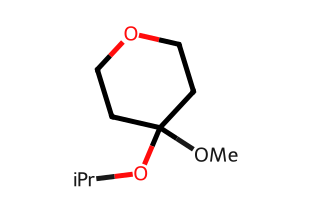 COC1(OC(C)C)CCOCC1